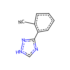 N#Cc1ccccc1-c1nc[nH]n1